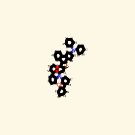 c1ccc(-c2ccccc2N(c2ccc3c(c2)sc2c4ccc(N(c5ccccc5)c5ccccc5)cc4c4ccccc4c32)c2cccc3c2oc2ccccc23)cc1